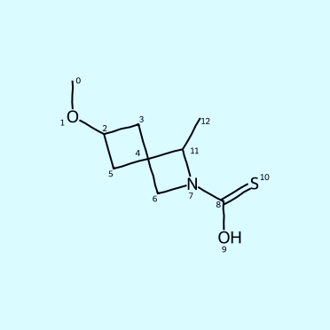 COC1CC2(C1)CN(C(O)=S)C2C